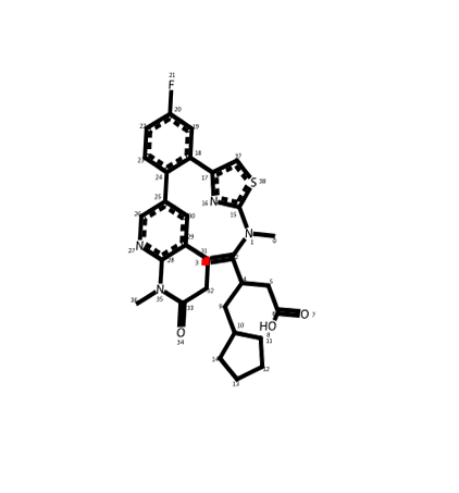 CN(C(=O)C(CC(=O)O)CC1CCCC1)c1nc(-c2cc(F)ccc2-c2cnc3c(c2)CCC(=O)N3C)cs1